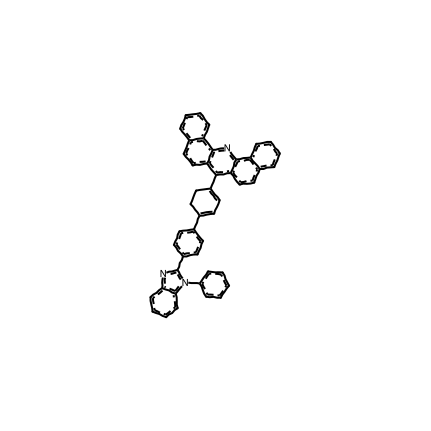 C1=C(c2ccc(-c3nc4ccccc4n3-c3ccccc3)cc2)CCC(c2c3ccc4ccccc4c3nc3c2ccc2ccccc23)=C1